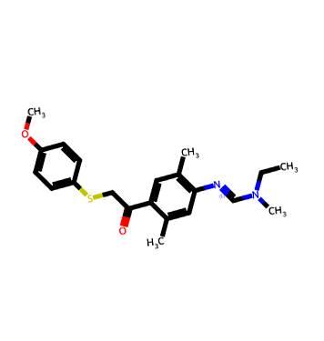 CCN(C)/C=N/c1cc(C)c(C(=O)CSc2ccc(OC)cc2)cc1C